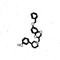 Oc1cccc(C2CCCN(CC3COc4cc(OCc5ccccc5)ccc4O3)C2)c1